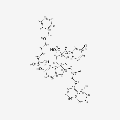 C[C@@H](COc1ccnc2c1[C@H](C)CCC2)C[C@H]1Cc2ccc(OP(=O)(O)OCCCOCc3ccccc3)cc2C12CCC(Nc1cccc(Cl)c1)(C(=O)O)CC2